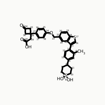 Cc1cc(C2CCS(O)(O)CC2)ccc1-c1csc2ccc(COc3ccc(C4(CC(=O)O)CC(=O)C4)cc3)cc12